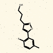 Cc1ccc(F)c(-c2cc(CCCO)no2)c1